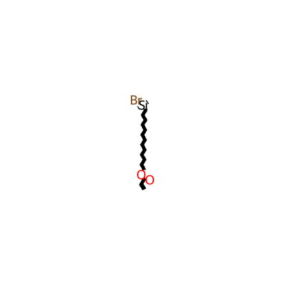 C=CC(=O)OCCCCCCCCCCCCC[Si](C)(C)Br